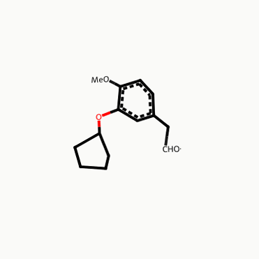 COc1ccc(C[C]=O)cc1OC1CCCC1